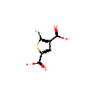 O=C(O)c1cc(C(=O)O)c(Cl)s1